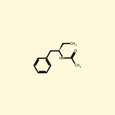 CC[C@H](Cc1ccccc1)NC(C)=O